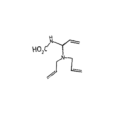 C=CCN(CC=C)C(C=C)NC(=O)O